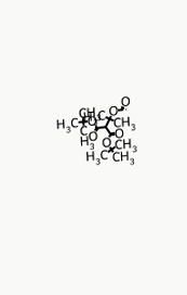 CC(C)(C)OC(=O)C(C(=O)OC(C)(C)C)C(C)(C)O[C]=O